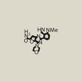 CNc1cccc(-c2nc(N3CCOCC3)c3oc(C(N)=O)cc3n2)c1C=N